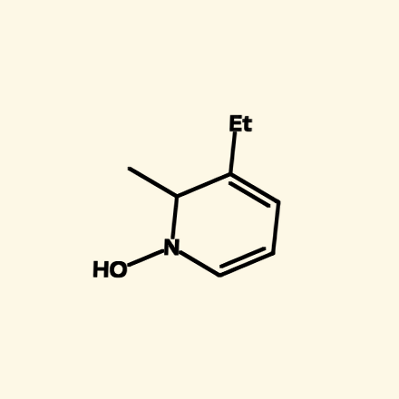 CCC1=CC=CN(O)C1C